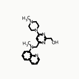 CN1CCN(c2cc(CN(C)c3cccc4cccnc34)nc(CO)n2)CC1